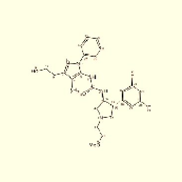 COCCN1C[C@@H](NC(=O)Nc2c(C)c(CCO)nn2-c2ccccc2)[C@H](c2cc(F)cc(F)c2)C1